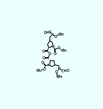 CC(C)(C)OC(=O)N1CC(CN(C=O)OC(C)(C)C)C[C@@H]1C(=O)OC(=O)[C@@H]1CC(CN(C=O)OC(C)(C)C)CN1C(=O)OC(C)(C)C